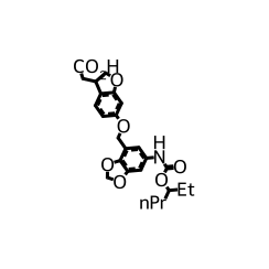 CCCC(CC)OC(=O)Nc1cc(COc2ccc3c(c2)OCC3CC(=O)O)c2c(c1)OCO2